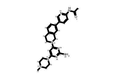 CC(=O)Nc1ccc(-c2ccc3c(c2)CN(c2cc(N4CCN(C)CC4)nc(N)n2)CC3)cn1